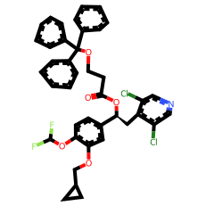 O=C(CCOC(c1ccccc1)(c1ccccc1)c1ccccc1)O[C@@H](Cc1c(Cl)cncc1Cl)c1ccc(OC(F)F)c(OCC2CC2)c1